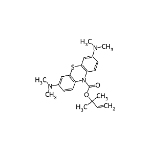 C=CC(C)(C)OC(=O)N1c2ccc(N(C)C)cc2Sc2cc(N(C)C)ccc21